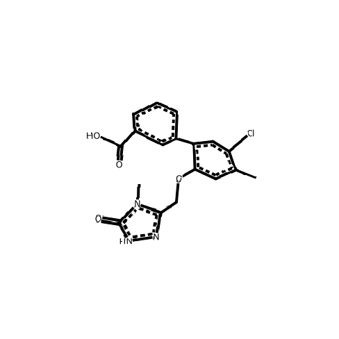 Cc1cc(OCc2n[nH]c(=O)n2C)c(-c2cccc(C(=O)O)c2)cc1Cl